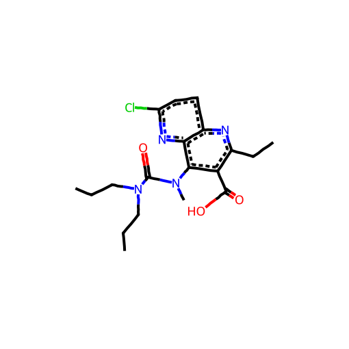 CCCN(CCC)C(=O)N(C)c1c(C(=O)O)c(CC)nc2ccc(Cl)nc12